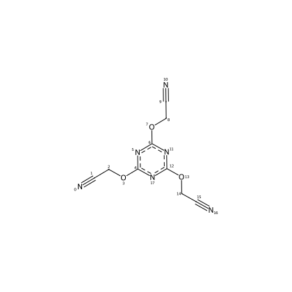 N#CCOc1nc(OCC#N)nc(OCC#N)n1